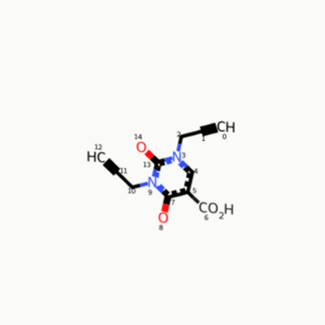 C#CCn1cc(C(=O)O)c(=O)n(CC#C)c1=O